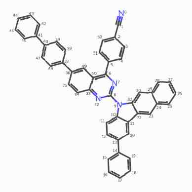 N#Cc1ccc(-c2nc(-n3c4ccc(-c5ccccc5)cc4c4cc5ccccc5cc43)nc3ccc(-c4ccc(-c5ccccc5)cc4)cc23)cc1